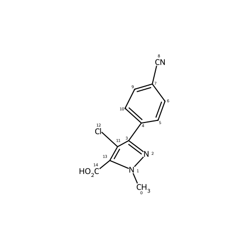 Cn1nc(-c2ccc(C#N)cc2)c(Cl)c1C(=O)O